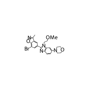 COCCn1c(-c2cc(Br)c3onc(C)c3c2)nc2ccc(N3CCOCC3)cc21